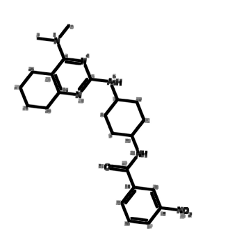 CN(C)c1nc([AsH]C2CCC(NC(=O)c3cccc([N+](=O)[O-])c3)CC2)nc2c1CCCC2